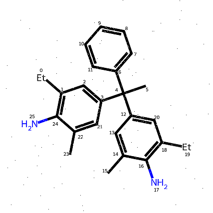 CCc1cc(C(C)(c2ccccc2)c2cc(C)c(N)c(CC)c2)cc(C)c1N